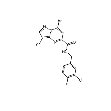 CC(=O)c1cc(C(=O)NCc2ccc(F)c(Cl)c2)nc2c(Cl)cnn12